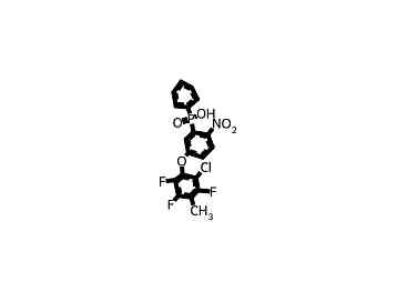 Cc1c(F)c(F)c(Oc2ccc([N+](=O)[O-])c(P(=O)(O)c3ccccc3)c2)c(Cl)c1F